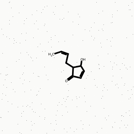 C/C=C\CC1C(=O)C=CC1O